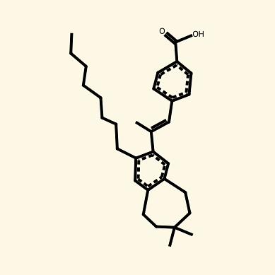 CCCCCCCCc1cc2c(cc1/C(C)=C/c1ccc(C(=O)O)cc1)CCC(C)(C)CC2